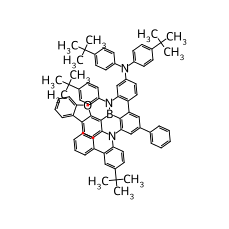 CC(C)(C)c1ccc(N2B3c4c(cc(-c5ccccc5)cc4N(c4ccc(C(C)(C)C)cc4-c4ccccc4)c4ccc5c(oc6ccccc65)c43)-c3ccc(N(c4ccc(C(C)(C)C)cc4)c4ccc(C(C)(C)C)cc4)cc32)cc1